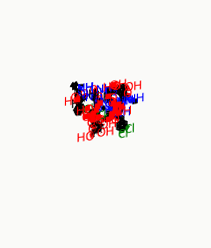 CCNNC(=O)[C@@H]1NC(=O)[C@H]2NC(=O)[C@H](NC(=O)[C@@H]3NC(=O)[C@H](CC(N)=O)NC(=O)[C@H](NC(=O)[C@@H](CC(C)C)NC)[C@H](O)c4ccc(c(Cl)c4)Oc4cc3cc(c4O[C@@H]3O[C@H](CO)[C@@H](O)[C@H](O)[C@H]3O[C@H]3C[C@](C)(NCCn4ccc(NC(=O)Cc5ccc(Cl)c(Cl)c5)nc4=O)[C@H](O)[C@H](C)O3)Oc3ccc(cc3Cl)[C@H]2O)c2ccc(O)c(c2)-c2c(O)cc(O)cc21